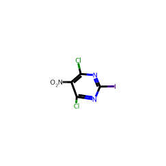 O=[N+]([O-])c1c(Cl)nc(I)nc1Cl